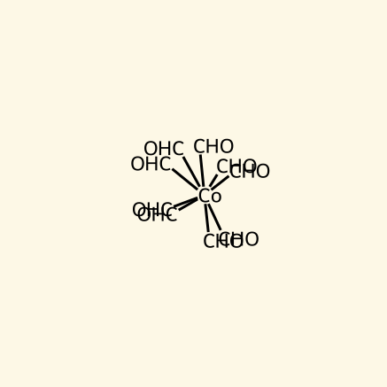 O=[CH][Co]([CH]=O)([CH]=O)([CH]=O)([CH]=O)([CH]=O)([CH]=O)([CH]=O)[CH]=O